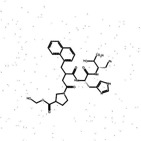 CC(C)C[C@H](NC(=O)[C@H](Cc1c[nH]cn1)NC(=O)C(CC(=O)N1CCC(C(=O)OCO)C1)Cc1cccc2ccccc12)C(O)C(=O)O